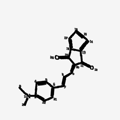 CN(C)c1ccc(C=CC=C2C(=O)c3ccccc3C2=O)cc1